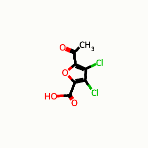 CC(=O)c1oc(C(=O)O)c(Cl)c1Cl